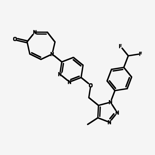 Cc1nnn(-c2ccc(C(F)F)cc2)c1COc1ccc(N2C=CC(=O)N=CC2)nn1